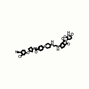 N#Cc1ccc(O[C@H]2CC[C@H](NC(=O)c3ccc(N4CCC(NCCNc5ccc6c(c5)C(=O)N(C5CCC(=O)NC5=O)C6=O)CC4)cc3)C2)cc1Cl